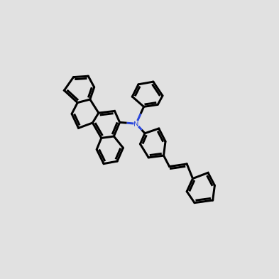 C(=C\c1ccc(N(c2ccccc2)c2cc3c4ccccc4ccc3c3ccccc23)cc1)/c1ccccc1